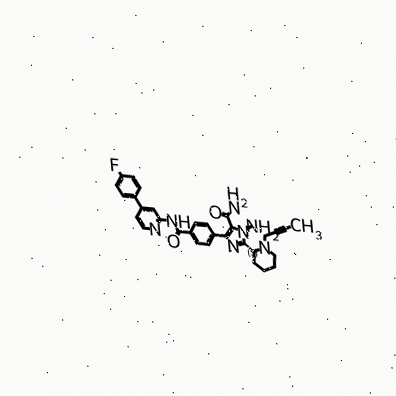 CC#CCN1CCCC[C@H]1c1nc(-c2ccc(C(=O)Nc3cc(-c4ccc(F)cc4)ccn3)cc2)c(C(N)=O)n1N